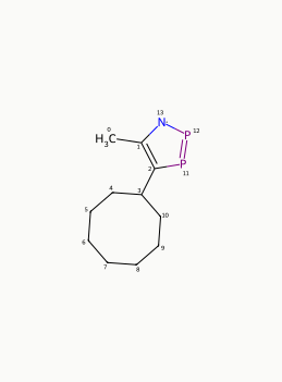 CC1=C(C2CCCCCCC2)P=P[N]1